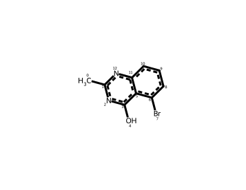 Cc1nc(O)c2c(Br)cccc2n1